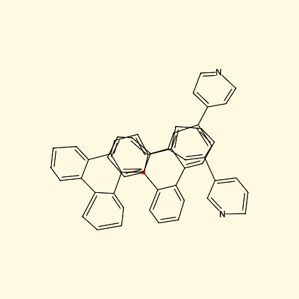 c1cncc(-c2cc(-c3ccncc3)cc(-c3ccccc3-c3ccccc3-c3ccccc3-c3ccc4c5ccccc5c5ccccc5c4c3)c2)c1